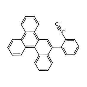 [C-]#[N+]c1ccccc1-c1cc2c3ccccc3c3ccccc3c2c2ccccc12